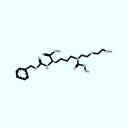 COCCOCCN(CCCC[C@@H](NC(=O)OCc1ccccc1)C(=O)OC)C(=O)OC(C)(C)C